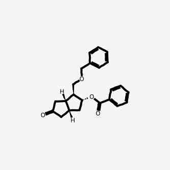 O=C1C[C@H]2C[C@@H](OC(=O)c3ccccc3)[C@H](COCc3ccccc3)[C@H]2C1